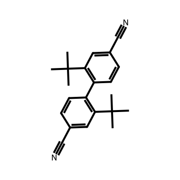 CC(C)(C)c1cc(C#N)ccc1-c1ccc(C#N)cc1C(C)(C)C